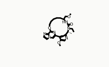 CCN1C(=O)NC(COC)CCCCCOc2nc(cn3ccnc23)-c2cc(ncc2OC)[C@H]1C